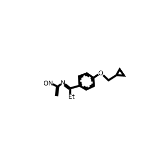 C=C(N=O)/N=C(\CC)c1ccc(OCC2CC2)cc1